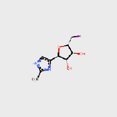 O=[N+]([O-])c1nc([C@H]2O[C@H](CI)[C@@H](O)[C@@H]2O)c[nH]1